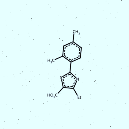 CCc1nc(-c2ccc(C)cc2C)sc1C(=O)O